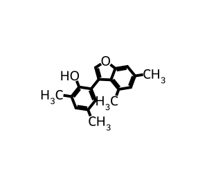 Cc1cc(C)c(O)c(-c2coc3cc(C)cc(C)c23)c1